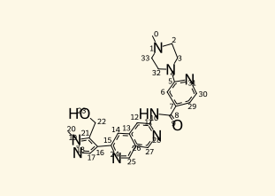 CN1CCN(c2cc(C(=O)Nc3cc4cc(-c5cnn(C)c5CO)ncc4cn3)ccn2)CC1